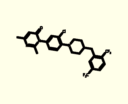 Cc1cc(=O)n(-c2ccc(N3CCC(Cc4cc(C(F)(F)F)ccc4C(F)(F)F)CC3)c(Cl)c2)c(C)n1